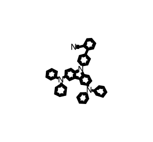 N#Cc1ccccc1-c1ccc(-n2c3ccc(N(c4ccccc4)c4ccccc4)cc3c3cc(N(c4ccccc4)c4ccccc4)ccc32)cc1